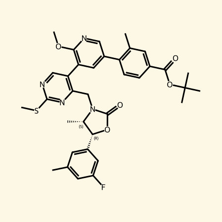 COc1ncc(-c2ccc(C(=O)OC(C)(C)C)cc2C)cc1-c1cnc(SC)nc1CN1C(=O)O[C@H](c2cc(C)cc(F)c2)[C@@H]1C